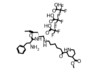 CC#CC[C@H](CNCCCCCC(=O)C1CC(C(=O)OC)CCN1)NC(=O)[C@H](N)Cc1ccccc1.O=C(O)C(F)(F)F.O=C(O)C(F)(F)F.O=C(O)C(F)(F)F